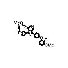 CC#CC(=O)N1CCC(c2nc(-c3ccc(Oc4cccc(OC)c4F)cc3)c3cncc(OCCOC)n23)C1